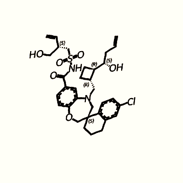 C=CC[C@H](O)[C@@H]1CC[C@H]1CN1C[C@@]2(CCCc3cc(Cl)ccc32)COc2ccc(C(=O)NS(=O)(=O)C[C@@H](C=C)CO)cc21